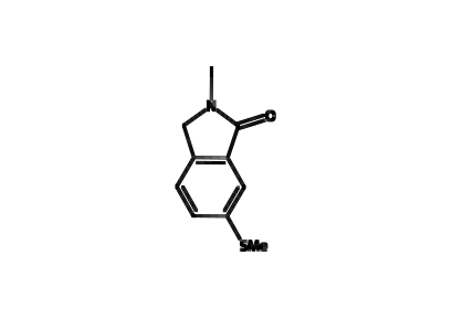 CSc1ccc2c(c1)C(=O)N(I)C2